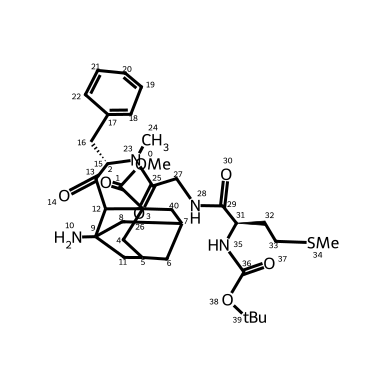 COC(=O)C12CC3CC(CC(N)(C3)C1C(=O)[C@H](Cc1ccccc1)N(C)C(=O)CNC(=O)[C@@H](CCSC)NC(=O)OC(C)(C)C)C2